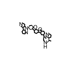 C=C1CN/C=C\N(c2ccc3oc4c(ccc5c6c(oc54)C=CC(n4c5ccncc5c5cccnc54)C6)c3c2)c2ncccc21